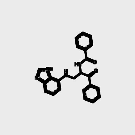 O=C(NC(CNc1cccc2nc[nH]c12)C(=O)c1ccccc1)c1ccccc1